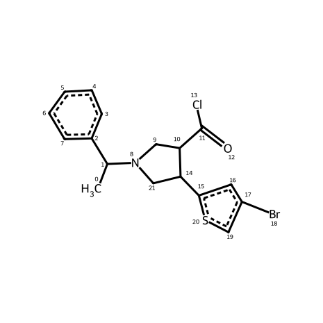 CC(c1ccccc1)N1CC(C(=O)Cl)C(c2cc(Br)cs2)C1